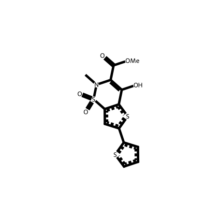 COC(=O)C1=C(O)c2sc(-c3cccs3)cc2S(=O)(=O)N1C